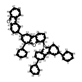 c1ccc(-c2ccc3c(c2)c2cc(-c4ccccc4)ccc2n3-c2cccc3c2oc2c(-c4ccccc4)cc(-c4ccc5oc6ccccc6c5c4)cc23)cc1